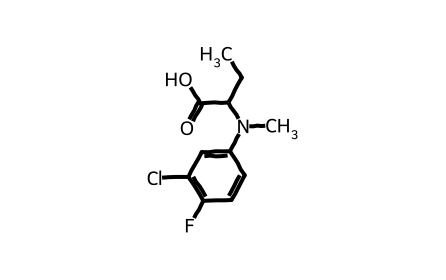 CCC(C(=O)O)N(C)c1ccc(F)c(Cl)c1